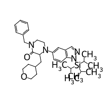 CC(C)[Si](C(C)C)(C(C)C)n1ncc2cc(N3CCN(Cc4ccccc4)C(=O)C3CC3CCOCC3)ccc21